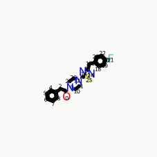 O=C(Cc1ccccc1)N1CCN(c2nc(Cc3ccc(F)cc3)ns2)CC1